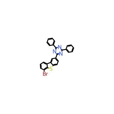 Brc1cccc2c1sc1ccc(-c3nc(-c4ccccc4)nc(-c4ccccc4)n3)cc12